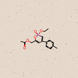 CCOP1(=O)C=C(c2ccc(C)cc2)C=C(COC(C)=O)O1